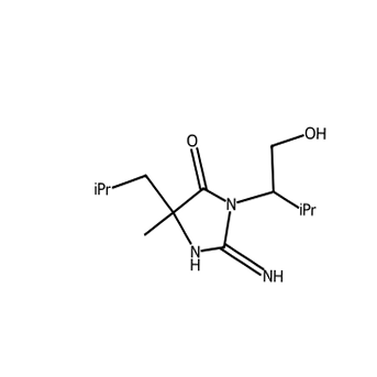 CC(C)CC1(C)NC(=N)N(C(CO)C(C)C)C1=O